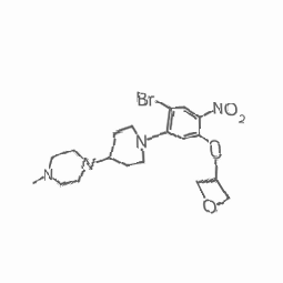 CN1CCN(C2CCN(c3cc(OC4COC4)c([N+](=O)[O-])cc3Br)CC2)CC1